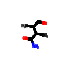 CC(C=O)C(C)C(N)=O